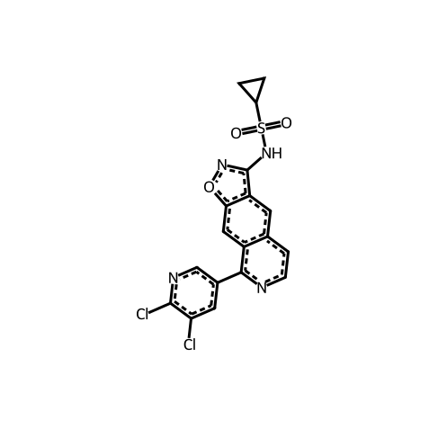 O=S(=O)(Nc1noc2cc3c(-c4cnc(Cl)c(Cl)c4)nccc3cc12)C1CC1